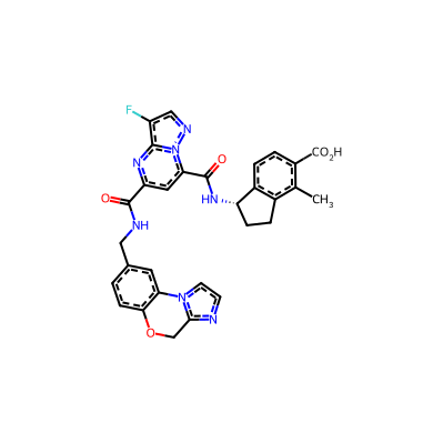 Cc1c(C(=O)O)ccc2c1CC[C@@H]2NC(=O)c1cc(C(=O)NCc2ccc3c(c2)-n2ccnc2CO3)nc2c(F)cnn12